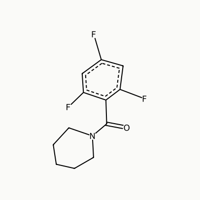 O=C(c1c(F)cc(F)cc1F)N1CCCCC1